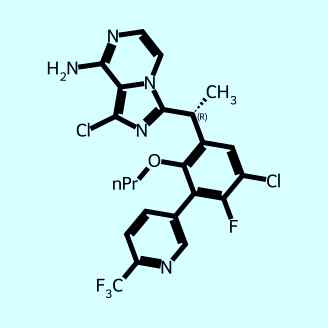 CCCOc1c([C@@H](C)c2nc(Cl)c3c(N)nccn23)cc(Cl)c(F)c1-c1ccc(C(F)(F)F)nc1